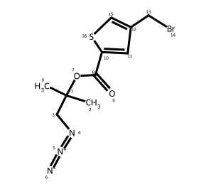 CC(C)(CN=[N+]=[N-])OC(=O)c1cc(CBr)cs1